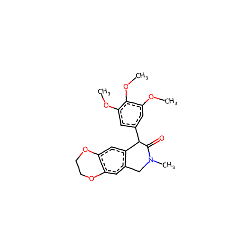 COc1cc(C2C(=O)N(C)Cc3cc4c(cc32)OCCO4)cc(OC)c1OC